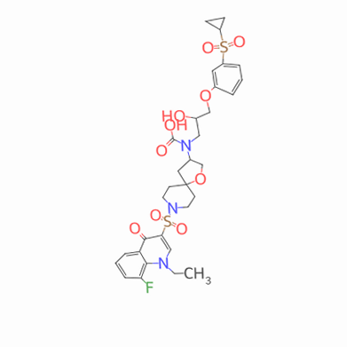 CCn1cc(S(=O)(=O)N2CCC3(CC2)CC(N(CC(O)COc2cccc(S(=O)(=O)C4CC4)c2)C(=O)O)CO3)c(=O)c2cccc(F)c21